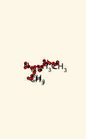 CC1(C)c2cc(-c3ccc4cc(-n5c6ccccc6c6cc(-c7ccc8c(c7)c7ccc(-c9ccc%10c%11cc(-c%12ccc%13c(c%12)c%12ccccc%12n%13-c%12ccccc%12)ccc%11n(-c%11ccc%12ccc(-c%13ccc%14c(c%13)C(C)(C)c%13ccc%15ccccc%15c%13-%14)cc%12c%11)c%10c9)cc7n8-c7ccccc7)ccc65)ccc4c3)ccc2-c2c1ccc1ccccc21